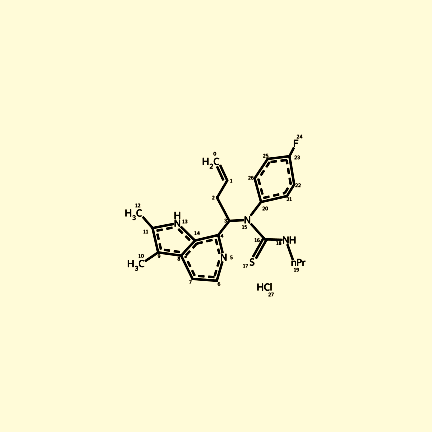 C=CCC(c1nccc2c(C)c(C)[nH]c12)N(C(=S)NCCC)c1ccc(F)cc1.Cl